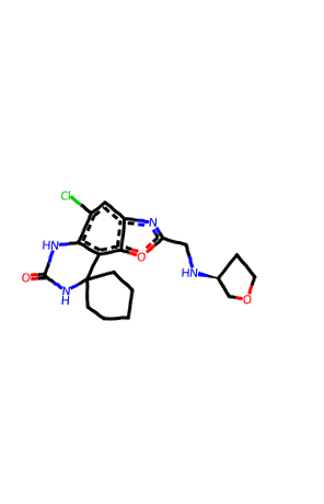 O=C1Nc2c(Cl)cc3nc(CN[C@H]4CCOC4)oc3c2C2(CCCCC2)N1